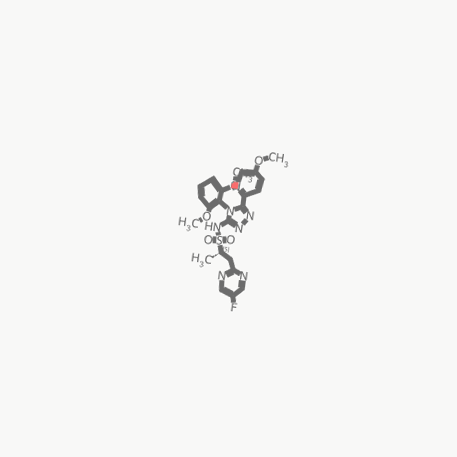 COc1ccc(-c2nnc(NS(=O)(=O)[C@@H](C)Cc3ncc(F)cn3)n2-c2c(OC)cccc2OC)nc1